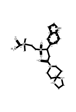 C[Si](C)(CCS(=O)(=O)C([CH]C(=O)N1CCC2(CC1)OCCO2)c1ccc2[nH]ccc2c1)C(N)=O